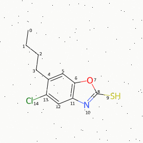 CCCCc1cc2oc(S)nc2cc1Cl